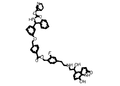 O=C(NC(c1ccccc1)c1cccc(OCc2ccc(C(=O)OCc3ccc(CCNCC(O)c4ccc(O)c5[nH]c(=O)ccc45)cc3F)cc2)c1)OC1CN2CCC1CC2